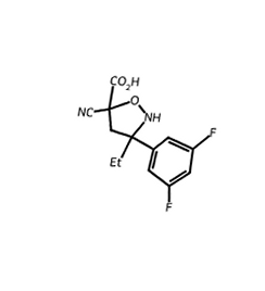 CCC1(c2cc(F)cc(F)c2)CC(C#N)(C(=O)O)ON1